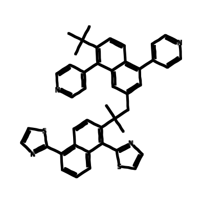 CC(C)(C)c1ccc2c(-c3ccncc3)cc(CC(C)(C)c3ccc4c(-c5nccs5)cccc4c3-c3nccs3)cc2c1-c1ccncc1